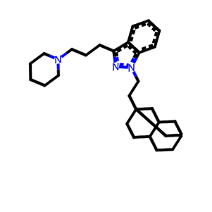 c1ccc2c(c1)c(CCCN1CCCCC1)nn2CCC12CCC3CCC(CC3C1)C2